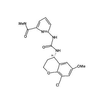 CNC(=O)c1cccc(NC(=O)N[C@H]2CCOc3c(Cl)cc(OC)cc32)n1